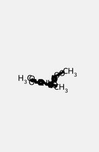 CCOCCOc1ccc(-c2cc(CNc3ccc(CCC(=O)OC)cc3)ccc2OC)cc1